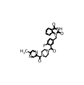 Cc1cnc(C(=O)N2CCN(C(=O)c3cc(Cn4c(=O)[nH]c(=O)c5ccccc54)ccc3F)CC2)cn1